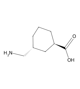 NC[C@@H]1CCC[C@@H](C(=O)O)C1